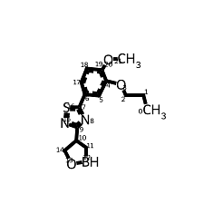 CCCOc1cc(-c2nc(C3CBOC3)ns2)ccc1OC